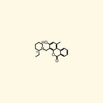 CC[C@H]1CCCCN1Cc1c(O)cc(C)c2c1oc(=O)c1ccccc12